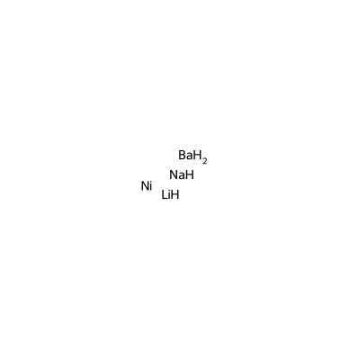 [BaH2].[LiH].[NaH].[Ni]